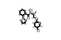 CCN(C(=O)c1ccccc1-n1nccn1)[C@@H](C)COc1ccc(Cl)cn1